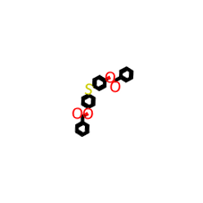 O=C(Oc1ccc(Sc2ccc(OC(=O)c3ccccc3)cc2)cc1)c1ccccc1